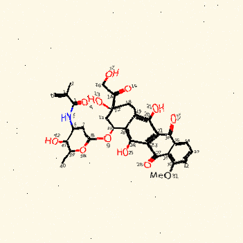 C=C(C)C(=O)NC1CC(O[C@H]2C[C@](O)(C(=O)CO)Cc3c(O)c4c(c(O)c32)C(=O)c2c(OC)cccc2C4=O)OC(C)C1O